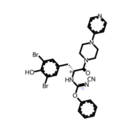 N#C/N=C(\N[C@H](Cc1cc(Br)c(O)c(Br)c1)C(=O)N1CCN(c2ccncc2)CC1)Oc1ccccc1